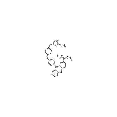 Cc1ncc(CN2CCC(Oc3ccc(N4c5ccccc5Sc5ccc(N(C)C)cc54)cc3)CC2)s1